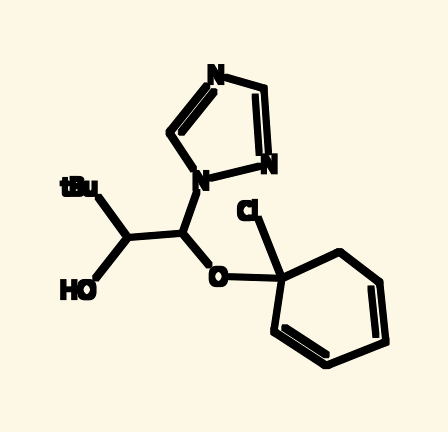 CC(C)(C)C(O)C(OC1(Cl)C=CC=CC1)n1cncn1